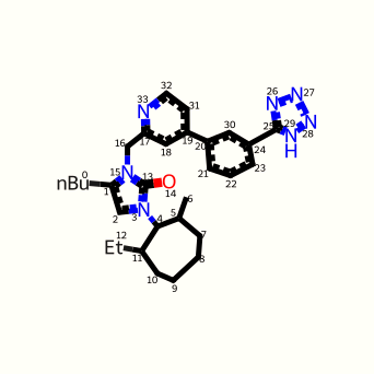 CCCCc1cn(C2C(C)CCCCC2CC)c(=O)n1Cc1cc(-c2cccc(-c3nnn[nH]3)c2)ccn1